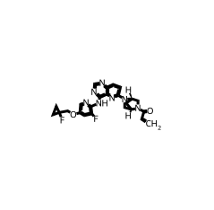 C=CC(=O)N1C[C@@H]2C[C@H]1CN2c1ccc2ncnc(Nc3ncc(OCC4(F)CC4)cc3F)c2n1